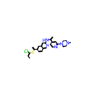 C=C(Nc1cc2cc(C(=C)S/C(Cl)=C\C)ccc2cn1)c1ccnc(N2CCN(C)CC2)c1